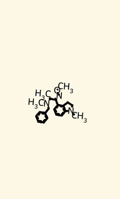 CON=C(c1cccc2c1CCN2C)C(C)N(C)Cc1ccccc1